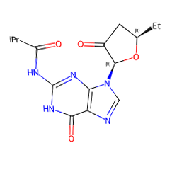 CC[C@@H]1CC(=O)[C@H](n2cnc3c(=O)[nH]c(NC(=O)C(C)C)nc32)O1